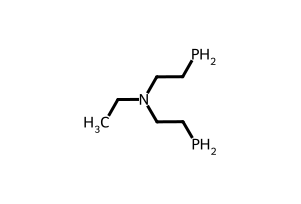 CCN(CCP)CCP